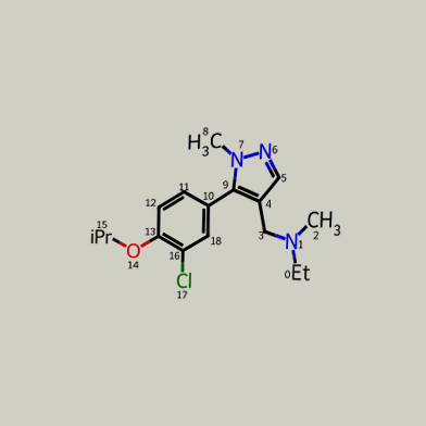 [CH2]CN(C)Cc1cnn(C)c1-c1ccc(OC(C)C)c(Cl)c1